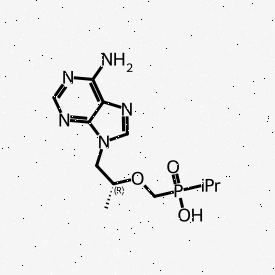 CC(C)P(=O)(O)CO[C@H](C)Cn1cnc2c(N)ncnc21